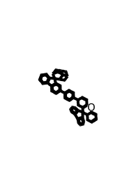 C1=CCC2C(=C1)OC1=C(CC(c3ccc(-c4ccc5c(c4)C4(c6ccccc6-5)C5CC6CC(C5)CC4C6)cc3)C=C1)C21c2ccccc2-c2ccccc21